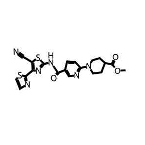 COC(=O)C1CCN(c2ccc(C(=O)Nc3nc(-c4nccs4)c(C#N)s3)cn2)CC1